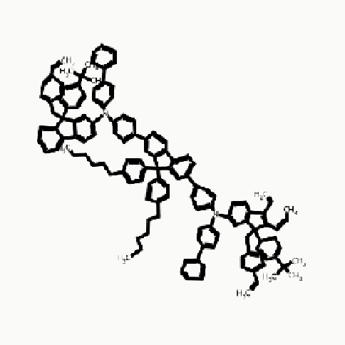 C=CC1=C(/C=C\C)C(Cc2ccc(C=C)cc2)(C2C=CC(C(C)(C)C)=CC2)c2cc(N(c3ccc(-c4ccccc4)cc3)c3ccc(-c4ccc5c(c4)C(c4ccc(CCCCCC)cc4)(c4ccc(CCCCCC)cc4)c4cc(-c6ccc(N(c7ccc(-c8ccccc8)cc7)c7ccc8c(c7)C(Cc7ccc(C=C)cc7)(c7ccc(C(C)(C)C)cc7)c7ccccc7-8)cc6)ccc4-5)cc3)ccc21